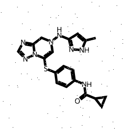 Cc1cc(NN2C=C(Sc3ccc(NC(=O)C4CC4)cc3)n3ncnc3C2)n[nH]1